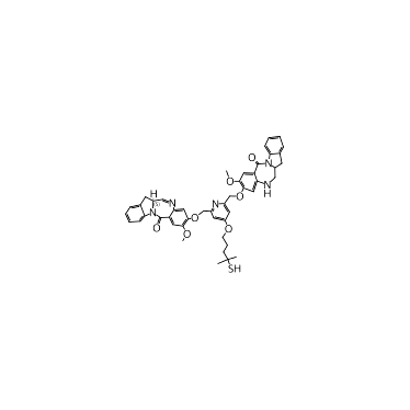 COc1cc2c(cc1OCc1cc(OCCCC(C)(C)S)cc(COc3cc4c(cc3OC)C(=O)N3c5ccccc5CC3CN4)n1)N=C[C@@H]1Cc3ccccc3N1C2=O